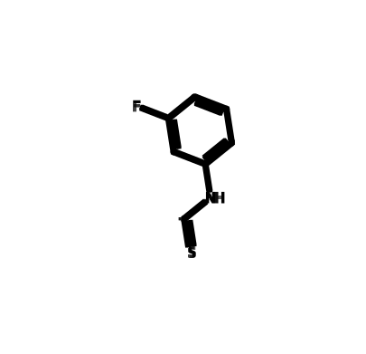 Fc1cccc(N[C]=S)c1